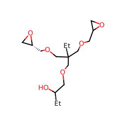 CCC(O)COCC(CC)(COCC1CO1)COC[C@@H]1CO1